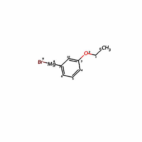 CCOc1ccc[c]([Mg][Br])c1